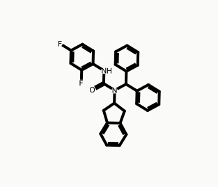 O=C(Nc1ccc(F)cc1F)N(C1Cc2ccccc2C1)C(c1ccccc1)c1ccccc1